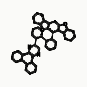 c1ccc(-c2ccccc2-c2c3oc4ccccc4c3cc3oc4ccccc4c23)c(-c2cnc3c4ccccc4c4ccccc4c3n2)c1